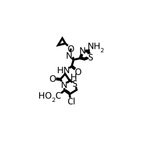 Nc1nc(C(=NOC2CC2)C(=O)N[C@@H]2C(=O)N3C(C(=O)O)=C(Cl)CS[C@@H]23)cs1